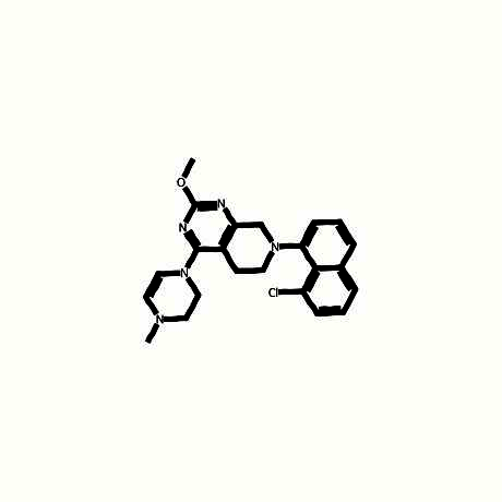 COc1nc2c(c(N3C=CN(C)CC3)n1)CCN(c1cccc3cccc(Cl)c13)C2